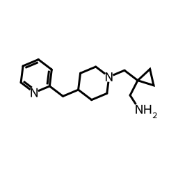 NCC1(CN2CCC(Cc3ccccn3)CC2)CC1